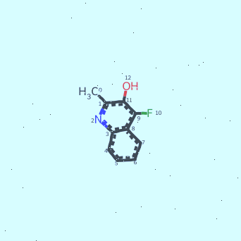 Cc1nc2ccccc2c(F)c1O